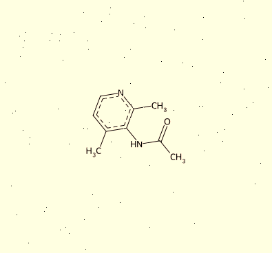 CC(=O)Nc1c(C)ccnc1C